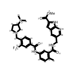 COC(=O)c1cc2cc(CNC(=O)c3cc(NC(=O)c4ccc(CN5CCC(N(C)C)C5)c(C(F)(F)F)c4)ccc3C)cnc2[nH]1